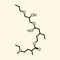 CCCOCC(O)COC(O)CC(CC)CCOC(=O)C(C)CCN(C)CC